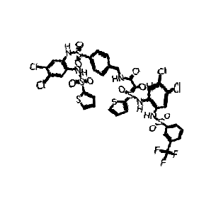 O=C(NCc1ccc(S(=O)(=O)Nc2cc(Cl)c(Cl)cc2NS(=O)(=O)c2cccs2)cc1)C(O)=S(=O)(Nc1cc(Cl)c(Cl)cc1NS(=O)(=O)c1cccc(C(F)(F)F)c1)c1cccs1